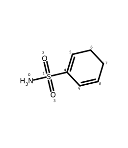 NS(=O)(=O)C1=CC[CH]C=C1